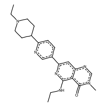 CCNc1nc(-c2ccc(C3CCN(CC)CC3)nc2)cc2ncn(C)c(=O)c12